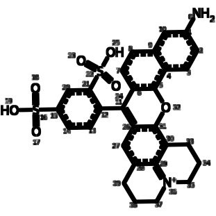 Nc1ccc2c3c(ccc2c1)C(c1ccc(S(=O)(=O)O)cc1S(=O)(=O)O)=c1cc2c4c(c1O3)CCC[N+]=4CCC2